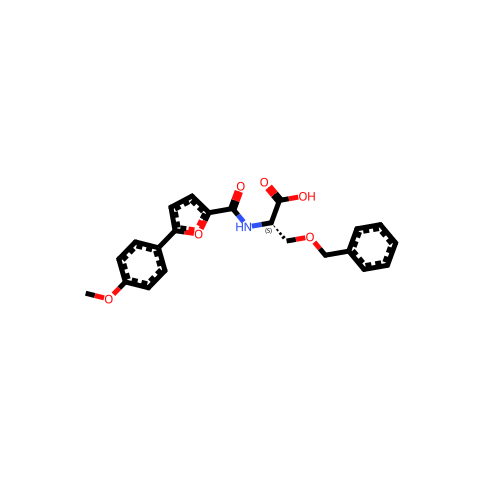 COc1ccc(-c2ccc(C(=O)N[C@@H](COCc3ccccc3)C(=O)O)o2)cc1